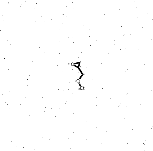 [CH2]COCC1CO1